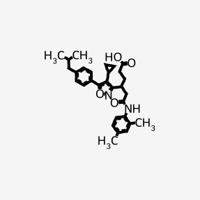 Cc1ccc(NC(=O)CC(CCC(=O)O)c2noc(-c3ccc(CC(C)C)cc3)c2C2CC2)c(C)c1